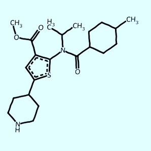 COC(=O)c1cc(C2CCNCC2)sc1N(C(=O)C1CCC(C)CC1)C(C)C